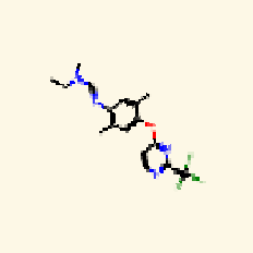 CCN(C)C=Nc1cc(C)c(Oc2ccnc(C(F)(F)F)n2)cc1C